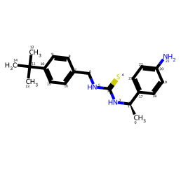 C[C@@H](NC(=S)NCc1ccc(C(C)(C)C)cc1)c1ccc(N)cc1